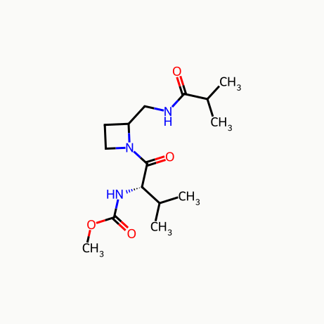 COC(=O)N[C@H](C(=O)N1CCC1CNC(=O)C(C)C)C(C)C